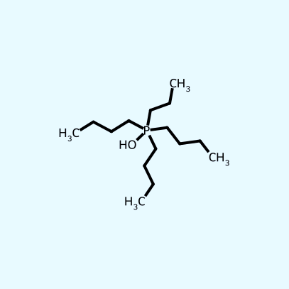 CCCCP(O)(CCC)(CCCC)CCCC